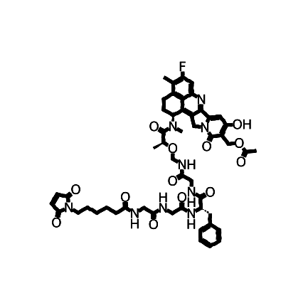 CC(=O)OCc1c(O)cc2n(c1=O)Cc1c-2nc2cc(F)c(C)c3c2c1[C@@H](N(C)C(=O)[C@H](C)OCNC(=O)CNC(=O)[C@H](Cc1ccccc1)NC(=O)CNC(=O)CNC(=O)CCCCCN1C(=O)C=CC1=O)CC3